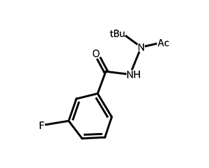 CC(=O)N(NC(=O)c1cccc(F)c1)C(C)(C)C